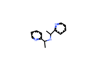 CC([N]C(C)c1ccccn1)c1ccccn1